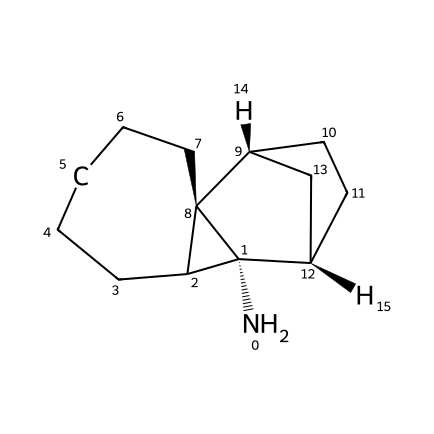 N[C@]12C3CCCCC[C@]31[C@@H]1CC[C@H]2C1